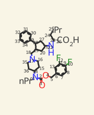 CCCN(C(=O)OCc1ccc(F)c(F)c1)C1CCN(CC2CC(N[C@H](CC(C)C)C(=O)O)CC2c2ccccc2)CC1